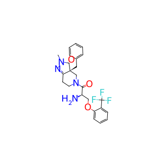 CN1N=C2CCN(C(=O)[C@H](N)COc3ccccc3C(F)(F)F)C[C@@]2(Cc2ccccc2)C1=O